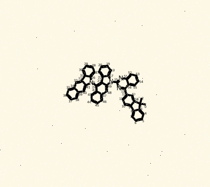 CC1(C)c2ccccc2-c2ccc(-c3nc(-n4c5ccccc5c5c(-n6c7ccccc7c7cc8ccccc8cc76)c6ccccc6cc54)nc4ccccc34)cc21